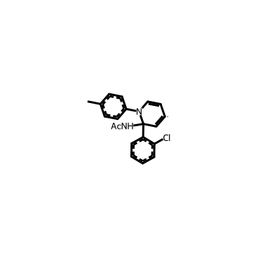 CC(=O)NC1(c2ccccc2Cl)C=[C]C=CN1c1ccc(C)cc1